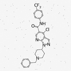 O=C(Nc1ccc(C(F)(F)F)cc1)c1cnc2c(cnn2C2CCN(Cc3ccccc3)CC2)c1Cl